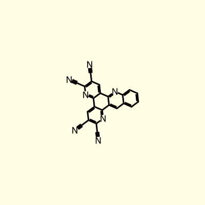 N#Cc1cc2c(nc1C#N)c1cc(C#N)c(C#N)nc1c1cc3ccccc3nc21